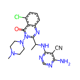 CC(Nc1ncnc(N)c1C#N)c1nc2cccc(Cl)c2c(=O)n1N1CCN(C)CC1